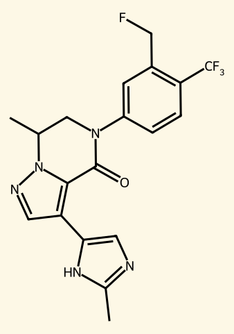 Cc1ncc(-c2cnn3c2C(=O)N(c2ccc(C(F)(F)F)c(CF)c2)CC3C)[nH]1